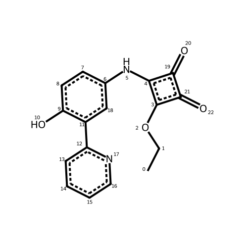 CCOc1c(Nc2ccc(O)c(-c3ccccn3)c2)c(=O)c1=O